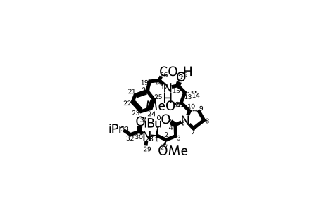 CC[C@H](C)[C@@H]([C@@H](CC(=O)N1CCC[C@H]1[C@H](OC)[C@@H](C)C(=O)NC(Cc1ccccc1)C(=O)O)OC)N(C)C(=O)CC(C)C